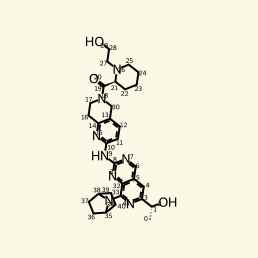 C[C@@H](O)c1cc2cnc(Nc3ccc4c(n3)CCN(C(=O)[C@@H]3CCCCN3CCO)C4)nc2c(N2C3CCC2CC3)n1